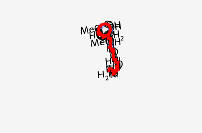 C=N/C(=N\C=C(/C)CNC(=O)O[C@@H]1CC[C@@H](C[C@@H](N)[C@@H]2CC(=O)[C@H](C)/C=C(\C)[C@@H](O)[C@@H](O)C(=O)[C@H](C)C[C@H](C)/C=C/C=C/C=C(\C)[C@@H](OC)C[C@@H]3CC[C@@H](C)[C@@](O)(O3)C(=O)C(=O)N3CCCC[C@H]3C(=O)O2)C[C@H]1OC)N1CCN(C(=O)CCOCCN2CCN(c3ncc(C(=O)N4CCc5cc(Cn6nc(-c7cnc8[nH]ccc8c7)c7c(N)ncnc76)ccc5C4)cn3)CC2)CC1